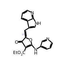 CCOC(=O)C1=C(Nc2cccnc2)O/C(=C\c2c[nH]c3ncccc23)C1=O